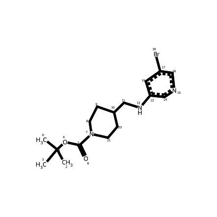 CC(C)(C)OC(=O)N1CCC(CNc2cncc(Br)c2)CC1